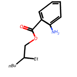 CCCCC(CC)COC(=O)c1ccccc1N